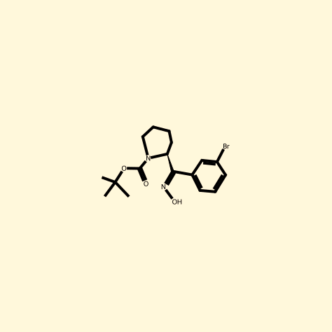 CC(C)(C)OC(=O)N1CCCC[C@H]1/C(=N/O)c1cccc(Br)c1